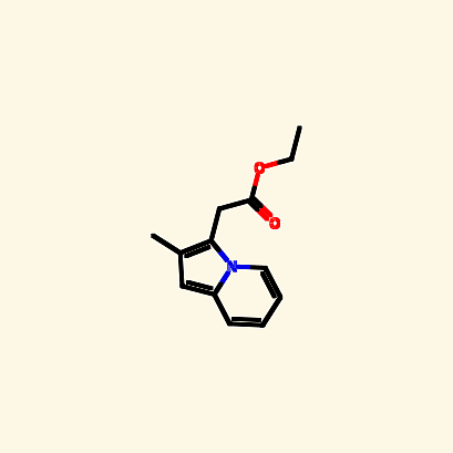 CCOC(=O)Cc1c(C)cc2ccccn12